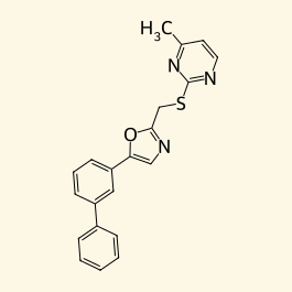 Cc1ccnc(SCc2ncc(-c3cccc(-c4ccccc4)c3)o2)n1